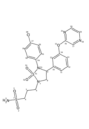 NS(=O)(=O)CCCN1CC(c2cccc(Oc3cnccn3)c2)N(c2ccc(Cl)cc2)S1(=O)=O